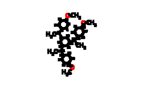 COc1ccc(C(C)c2cc(C(C)c3ccc(OC)cc3)cc(C(C)c3ccc(OC)cc3)c2)cc1